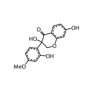 COc1ccc(C2(O)COc3cc(O)ccc3C2=O)c(O)c1